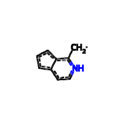 [CH2]c1[nH]ccc2cccc1-2